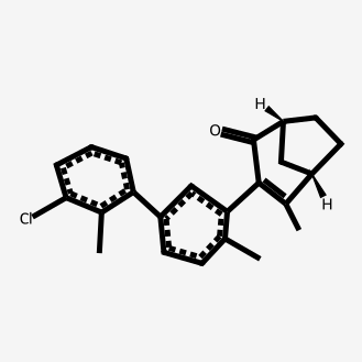 CC1=C(c2cc(-c3cccc(Cl)c3C)ccc2C)C(=O)[C@@H]2CC[C@H]1C2